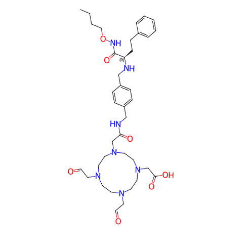 CCCCONC(=O)[C@@H](CCc1ccccc1)NCc1ccc(CNC(=O)CN2CCN(CC=O)CCN(CC=O)CCN(CC(=O)O)CC2)cc1